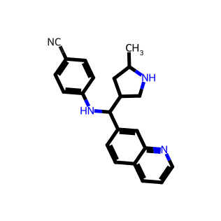 CC1CC(C(Nc2ccc(C#N)cc2)c2ccc3cccnc3c2)CN1